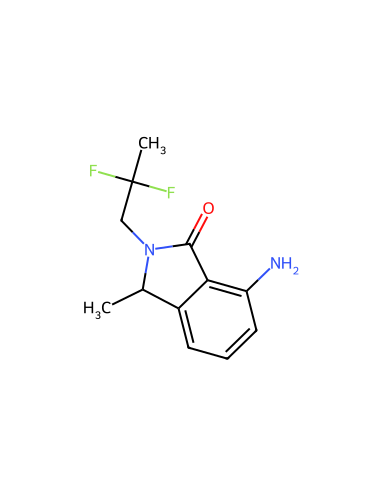 CC1c2cccc(N)c2C(=O)N1CC(C)(F)F